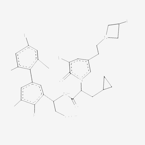 Cc1cc(-c2c(C)cc(F)cc2C)cc(C(CC(=O)O)NC(=O)C(CC2CC2)n2cc(CCN3CC(F)C3)cc(F)c2=O)c1F